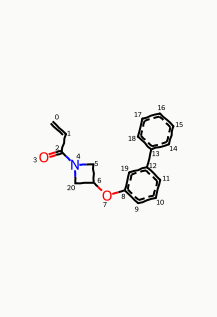 C=CC(=O)N1CC(Oc2cccc(-c3ccccc3)c2)C1